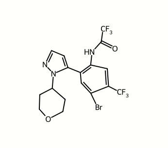 O=C(Nc1cc(C(F)(F)F)c(Br)cc1-c1ccnn1C1CCOCC1)C(F)(F)F